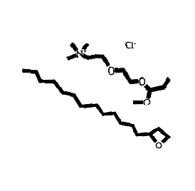 CCC(OC)OCCOCC[N+](C)(C)C.CCCCCCCCCCCCCC1CCO1.[Cl-]